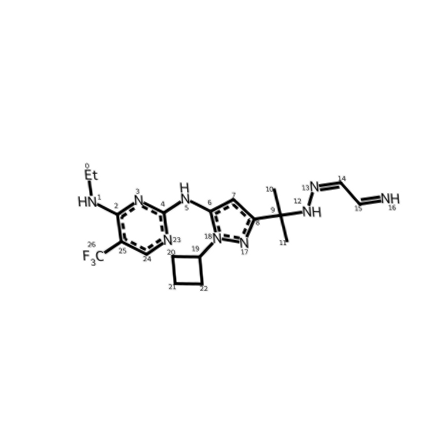 CCNc1nc(Nc2cc(C(C)(C)N/N=C\C=N)nn2C2CCC2)ncc1C(F)(F)F